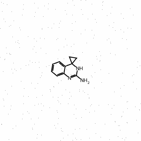 NC1=Nc2ccccc2C2(CC2)N1